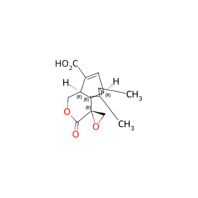 CC1=C(C)[C@H]2C=C(C(=O)O)[C@@H]3COC(=O)[C@]4(CO4)[C@]23C1